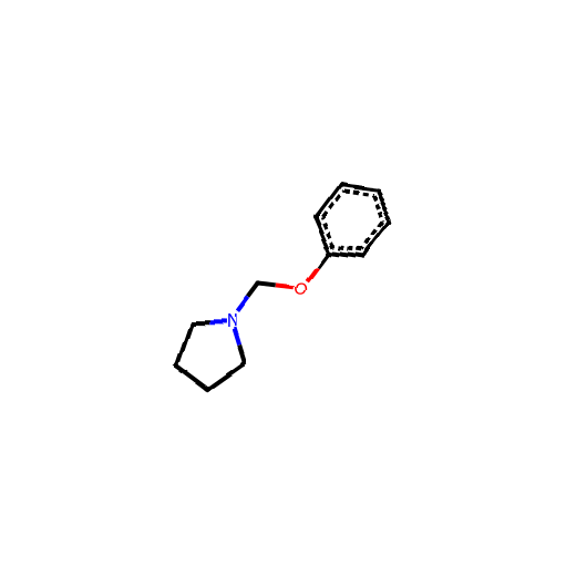 c1ccc(OCN2CCCC2)cc1